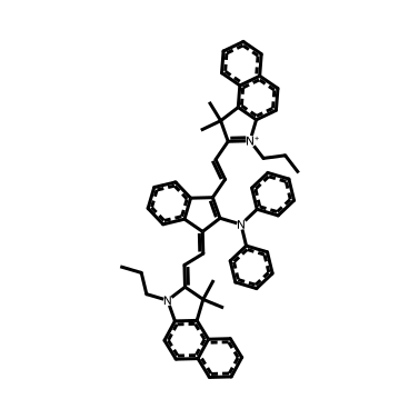 CCCN1/C(=C/C=C2C(N(c3ccccc3)c3ccccc3)=C(/C=C/C3=[N+](CCC)c4ccc5ccccc5c4C3(C)C)c3ccccc3/2)C(C)(C)c2c1ccc1ccccc21